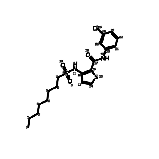 CCCCCCCCS(=O)(=O)Nc1ccsc1C(=O)Nc1cccc(Cl)c1